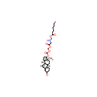 C[C@]12CC[C@H]3[C@@H](CCC4=CC(=O)CC[C@@]43C)[C@@H]1CC[C@@H]2OC(=O)OCOC(=O)CNCOC(=O)CCCCCI